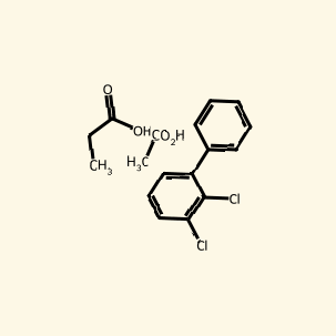 CC(=O)O.CCC(=O)O.Clc1cccc(-c2ccccc2)c1Cl